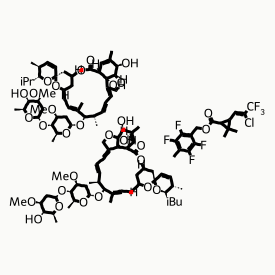 CC[C@H](C)[C@H]1O[C@]2(C=C[C@@H]1C)C[C@@H]1C[C@@H](C/C=C(\C)[C@@H](O[C@H]3C[C@H](OC)[C@@H](O[C@H]4C[C@H](OC)[C@@H](O)[C@H](C)O4)[C@H](C)O3)[C@@H](C)/C=C/C=C3\CO[C@@H]4[C@H](O)C(C)=C[C@@H](C(=O)O1)[C@]34O)O2.CO[C@H]1C[C@H](O[C@H]2[C@H](C)O[C@@H](O[C@@H]3/C(C)=C/C[C@@H]4C[C@@H](C[C@]5(C=C[C@H](C)[C@@H](C(C)C)O5)O4)OC(=O)[C@@H]4C=C(C)[C@@H](O)[C@H]5OC/C(=C\C=C\[C@@H]3C)[C@]54O)C[C@@H]2OC)O[C@@H](C)[C@@H]1O.Cc1c(F)c(F)c(COC(=O)C2C(/C=C(\Cl)C(F)(F)F)C2(C)C)c(F)c1F